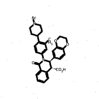 CC(=O)N1CCC(c2ccc(N3C(=O)c4ccccc4[C@@H](C(=O)O)[C@@H]3c3ccc4c(c3)OCCO4)cc2C)CC1